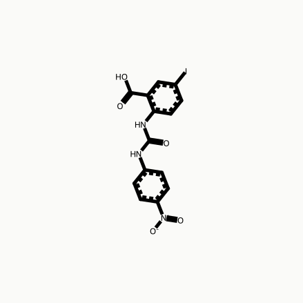 O=C(Nc1ccc([N+](=O)[O-])cc1)Nc1ccc(I)cc1C(=O)O